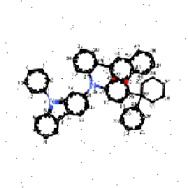 c1ccc(-n2c3ccccc3c3ccc(N(c4ccc(C5(c6ccccc6)CCCCC5)cc4)c4ccccc4-c4ccc5ccccc5c4)cc32)cc1